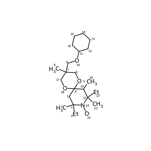 CCC1(C)CC2(OCC(C)(COC3CCCCC3)CO2)C(C)C(C)(CC)N1[O]